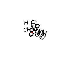 CC(F)(F)c1cccc(C(Cc2ccccc2)(NC(=O)NC23CC4CC(CC(C4)C2)C3)c2ccc(Cl)cn2)c1